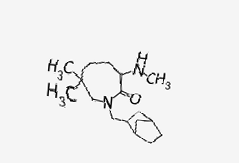 CNC1CCC(C)(C)CN(CC2CC3CCC2C3)C1=O